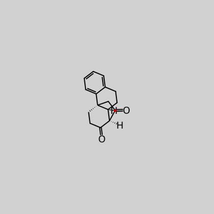 O=C1CC[C@]23CC(=O)[C@@H]1[C@@H]2CCc1ccccc13